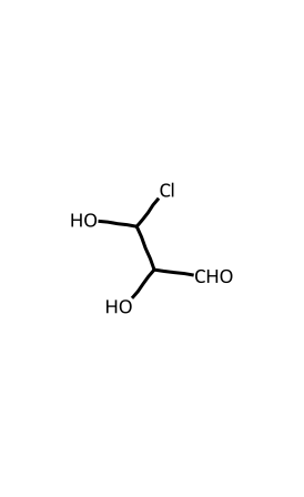 O=CC(O)C(O)Cl